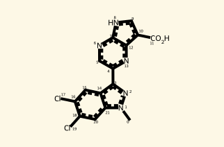 Cn1nc(-c2cnc3[nH]cc(C(=O)O)c3n2)c2cc(Cl)c(Cl)cc21